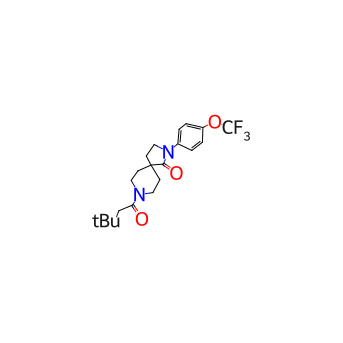 CC(C)(C)CC(=O)N1CCC2(CC1)CCN(c1ccc(OC(F)(F)F)cc1)C2=O